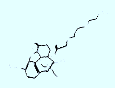 COCCOCCOCC(=O)O[C@@]12CCC(=O)[C@@H]3Oc4c(OC)ccc5c4[C@@]31CCN(C)[C@@H]2C5